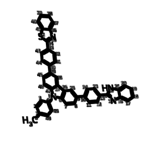 Cc1ccc(-n2c3ccc(-c4ccc(-c5nc6ccccc6[nH]5)cc4)cc3c3cc(-c4ccc(-c5nc6ccccc6s5)cc4)ccc32)cc1